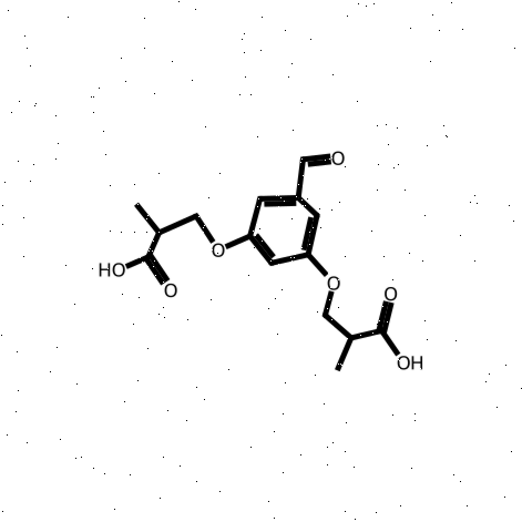 CC(COc1cc(C=O)cc(OCC(C)C(=O)O)c1)C(=O)O